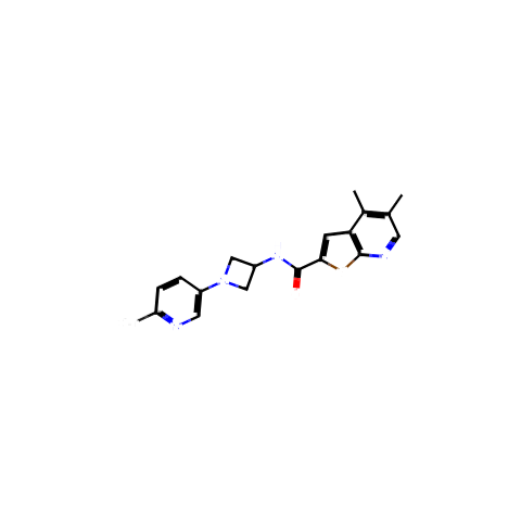 Cc1cnc2sc(C(=O)NC3CN(c4ccc(C(C)(C)C)nc4)C3)cc2c1C